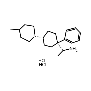 CC1CCN([C@H]2CC[C@@](c3ccccc3)(C(C)N)CC2)CC1.Cl.Cl